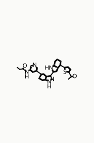 CCC(=O)Nc1cncc(-c2ccc3[nH]nc(-c4cc5c(-c6ccc(C(C)=O)s6)cccc5[nH]4)c3c2)c1